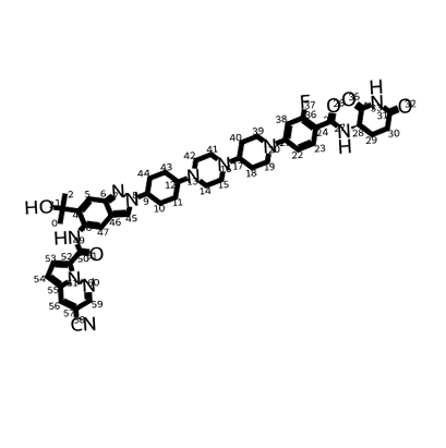 CC(C)(O)c1cc2nn(C3CCC(N4CCN(C5CCN(c6ccc(C(=O)N[C@H]7CCC(=O)NC7=O)c(F)c6)CC5)CC4)CC3)cc2cc1NC(=O)c1ccc2cc(C#N)cnn12